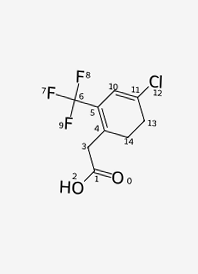 O=C(O)CC1=C(C(F)(F)F)C=C(Cl)CC1